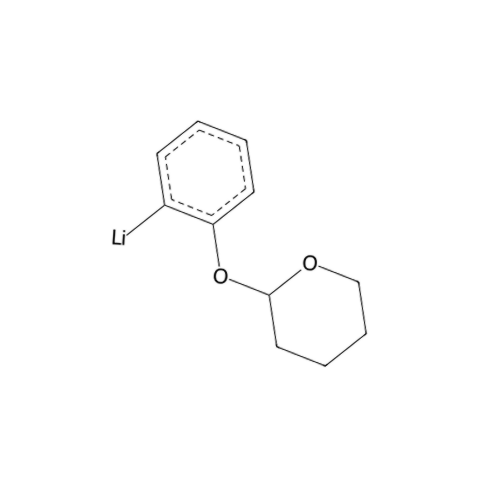 [Li][c]1ccccc1OC1CCCCO1